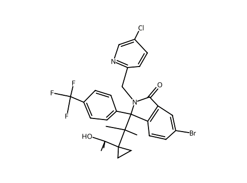 CC(C)(O)C1(C(C)(C)C2(c3ccc(C(F)(F)F)cc3)c3ccc(Br)cc3C(=O)N2Cc2ccc(Cl)cn2)CC1